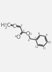 C=C=CC(=O)OCc1ccccc1